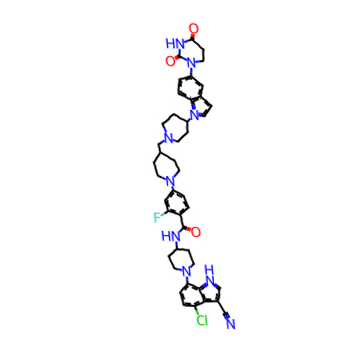 N#Cc1c[nH]c2c(N3CCC(NC(=O)c4ccc(N5CCC(CN6CCC(n7ccc8cc(N9CCC(=O)NC9=O)ccc87)CC6)CC5)cc4F)CC3)ccc(Cl)c12